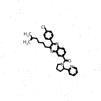 C=C(C)CCCCc1nc2cc(C(=O)N3CCCC3c3ccccn3)ccc2nc1-c1ccc(Cl)cc1